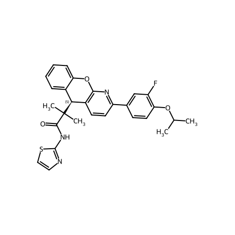 CC(C)Oc1ccc(-c2ccc3c(n2)Oc2ccccc2[C@@H]3C(C)(C)C(=O)Nc2nccs2)cc1F